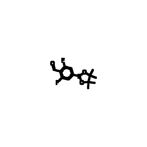 CC1(C)OB(c2cc(F)c(C=O)c(F)c2)OC1(C)C